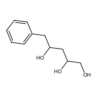 OCC(O)CC(O)Cc1ccccc1